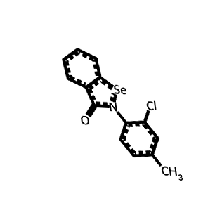 Cc1ccc(-n2[se]c3ccccc3c2=O)c(Cl)c1